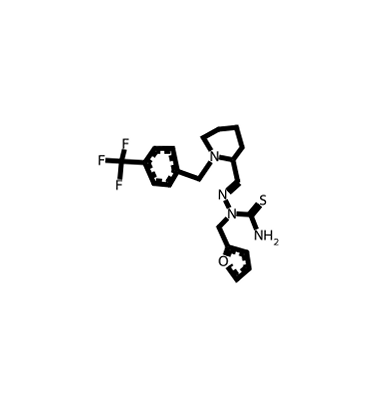 NC(=S)N(Cc1ccco1)N=CC1CCCCN1Cc1ccc(C(F)(F)F)cc1